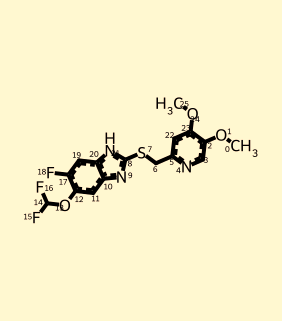 COc1cnc(CSc2nc3cc(OC(F)F)c(F)cc3[nH]2)cc1OC